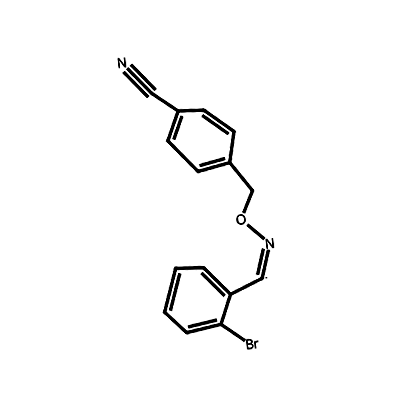 N#Cc1ccc(CO/N=[C]\c2ccccc2Br)cc1